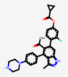 COC(=O)c1c(-c2ccc(OC(=O)C3CC3)cc2F)cc2[nH]nc(C)c2c1-c1ccc(N2CCNCC2)cc1